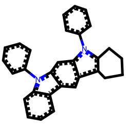 c1ccc(-n2c3c(c4cc5c6ccccc6n(-c6ccccc6)c5cc42)CCCC3)cc1